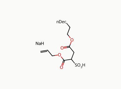 C=CCOC(=O)C(CC(=O)OCCCCCCCCCCCC)S(=O)(=O)O.[NaH]